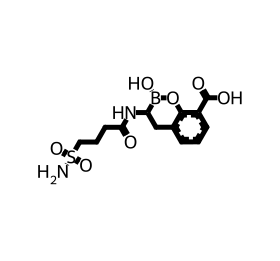 NS(=O)(=O)CCCC(=O)NC1Cc2cccc(C(=O)O)c2OB1O